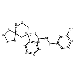 Clc1cccc(CNCC[C@@]2(c3ccccn3)CCOC3(CCCC3)C2)c1